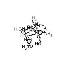 CCc1nc(C)oc1C(=O)Nc1nc2cc(C(N)=O)cnc2n1C/C=C/Cn1c(NC(O)c2sc(C)nc2CC)nc2cc(C(N)=O)cc(OCCCO)c21